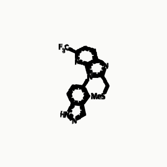 CSCc1nc2ccc(C(F)(F)F)nc2n1-c1ccc2[nH]ncc2c1